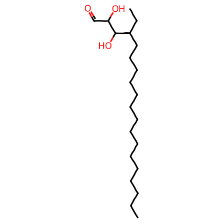 CCCCCCCCCCCCCCCC(CC)C(O)C(O)C=O